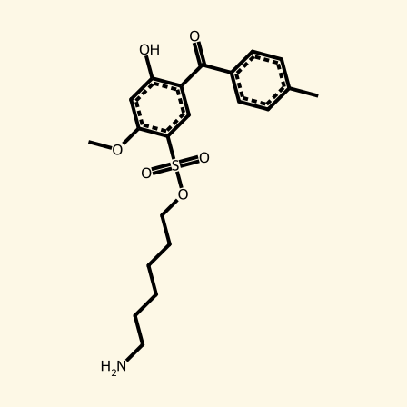 COc1cc(O)c(C(=O)c2ccc(C)cc2)cc1S(=O)(=O)OCCCCCCN